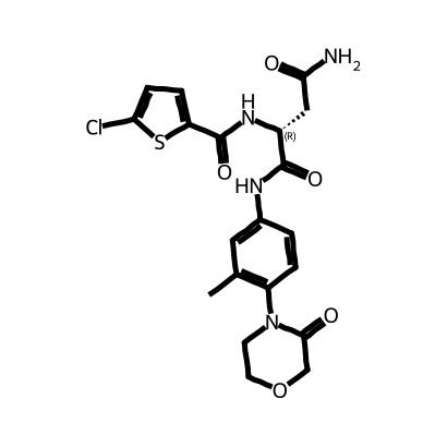 Cc1cc(NC(=O)[C@@H](CC(N)=O)NC(=O)c2ccc(Cl)s2)ccc1N1CCOCC1=O